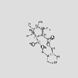 CCCCOC(=O)c1c(C)c(C)c(C)c(C)c1C(=O)OCCCC